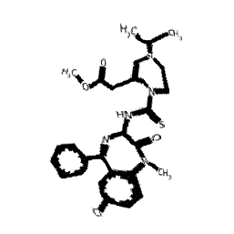 COC(=O)CC1CN(C(C)C)CCN1C(=S)NC1N=C(c2ccccc2)c2cc(Cl)ccc2N(C)C1=O